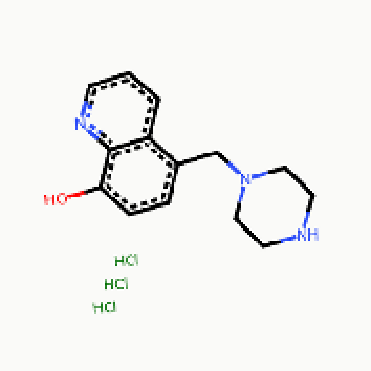 Cl.Cl.Cl.Oc1ccc(CN2CCNCC2)c2cccnc12